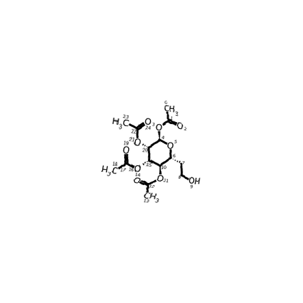 CC(=O)O[C@H]1O[C@H](CCO)[C@@H](OC(C)=O)[C@H](OC(C)=O)[C@@H]1OC(C)=O